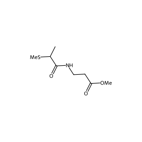 COC(=O)CCNC(=O)C(C)SC